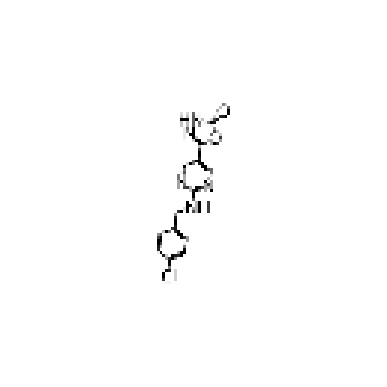 O=c1[nH]nc(-c2cnc(NCc3ccc(Cl)cc3)nc2)o1